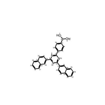 OB(O)c1ccc(-c2nc(-c3ccc4ccccc4c3)nc(-c3ccc4ccccc4c3)n2)cc1